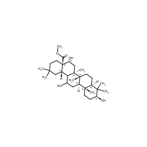 COC(=O)[C@]12CCC(C)(C)C[C@H]1C1C(O)C[C@@H]3[C@@]4(C)CC[C@H](O)C(C)(C)[C@@H]4CC[C@@]3(C)[C@]1(C)C[C@H]2O